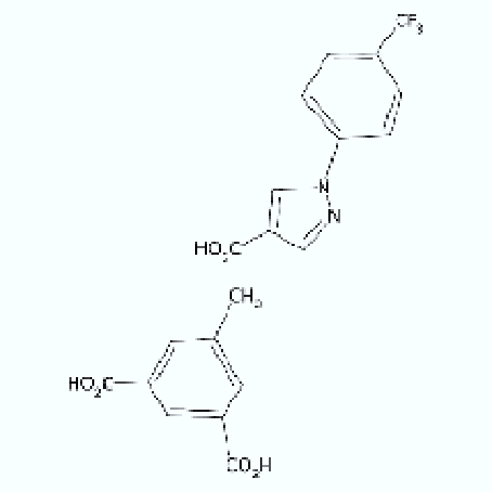 Cc1cc(C(=O)O)cc(C(=O)O)c1.O=C(O)c1cnn(-c2ccc(C(F)(F)F)cc2)c1